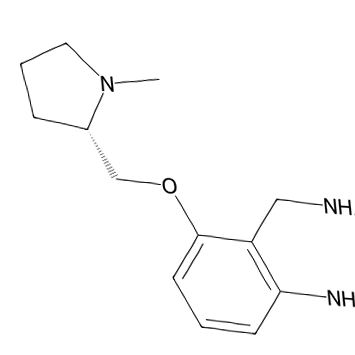 CN1CCC[C@H]1COc1cccc(N)c1CN